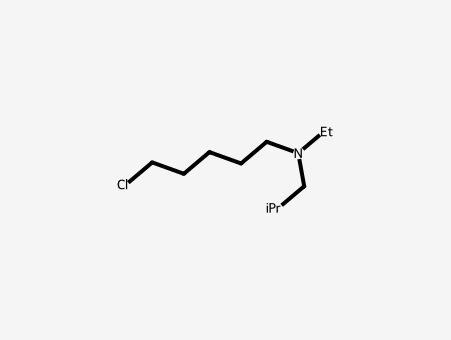 CCN(CCCCCCl)CC(C)C